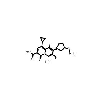 Cc1c(N2CCC(ON)C2)c(F)cn2c(=O)c(C(=O)O)cc(C3CC3)c12.Cl